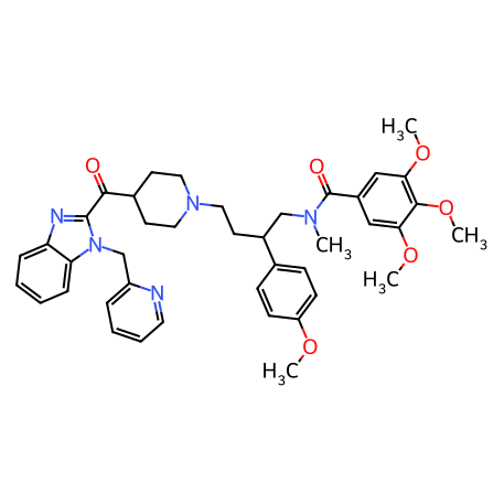 COc1ccc(C(CCN2CCC(C(=O)c3nc4ccccc4n3Cc3ccccn3)CC2)CN(C)C(=O)c2cc(OC)c(OC)c(OC)c2)cc1